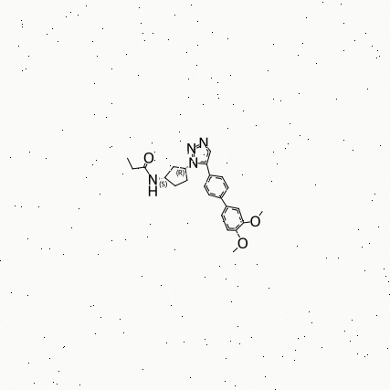 CCC(=O)N[C@H]1CC[C@@H](n2nncc2-c2ccc(-c3ccc(OC)c(OC)c3)cc2)C1